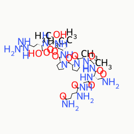 CC(C)C[C@H](NC(=O)[C@@H]1CCCN1C(=O)[C@@H]1CCCN1C(=O)[C@H](C)NC(=O)[C@H](C)NC(=O)[C@H](CC(N)=O)NC(=O)CNC(=O)[C@@H](N)CCC(N)=O)C(=O)N[C@H](C(=O)N[C@@H](CCCNC(=N)N)C(=O)O)[C@@H](C)O